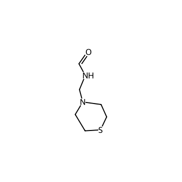 O=CNCN1CCSCC1